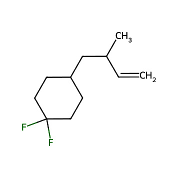 C=CC(C)CC1CCC(F)(F)CC1